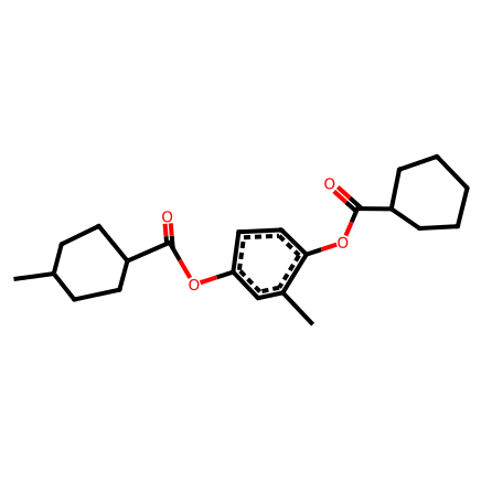 Cc1cc(OC(=O)C2CCC(C)CC2)ccc1OC(=O)C1CCCCC1